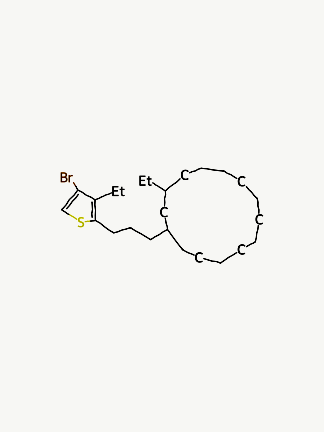 CCc1c(Br)csc1CCCC1CCCCCCCCCCCC(CC)C1